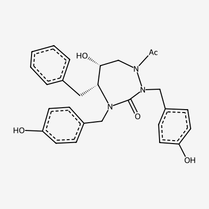 CC(=O)N1C[C@@H](O)[C@@H](Cc2ccccc2)N(Cc2ccc(O)cc2)C(=O)N1Cc1ccc(O)cc1